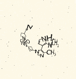 C=Nc1[nH]ccc1-c1c(C)ncn1C12CC(NS(=O)(=O)N3CCC(C#N)C3)(C1)C2